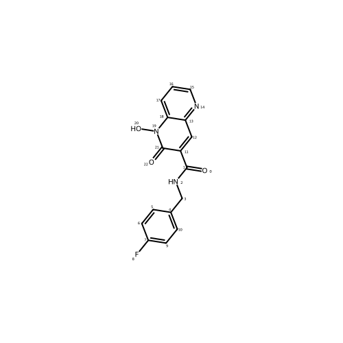 O=C(NCc1ccc(F)cc1)c1cc2ncccc2n(O)c1=O